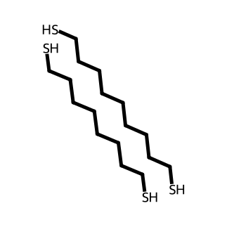 SCCCCCCCCCS.SCCCCCCCCS